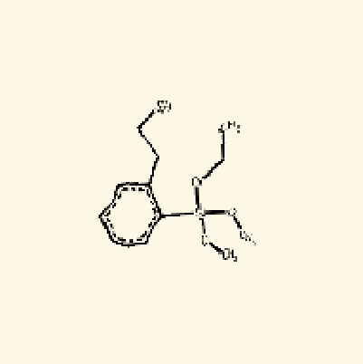 CCO[Si](OC)(OC)c1ccccc1CCS